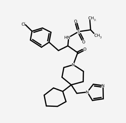 CC(C)S(=O)(=O)NC(Cc1ccc(Cl)cc1)C(=O)N1CCC(Cn2ccnc2)(C2CCCCC2)CC1